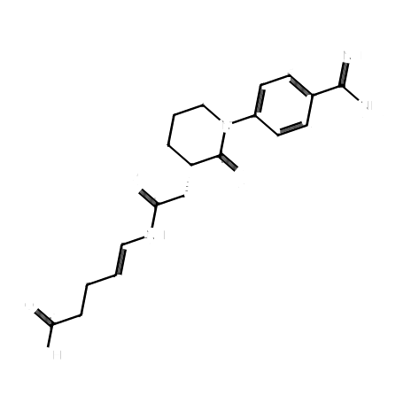 N=C(N)c1ccc(N2CCC[C@@H](CC(=O)NC=CCCC(=O)O)C2=O)cc1